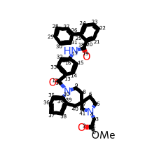 COC(=O)CN1CCC2(CCN(C(=O)c3ccc(NC(=O)c4ccccc4-c4ccccc4)cc3)c3ccccc3C2)C1